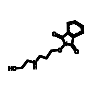 O=C1c2ccccc2C(=O)N1OCCCNCCO